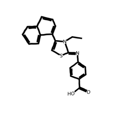 CCn1c(-c2cccc3ccccc23)cs/c1=N\c1ccc(C(=O)O)cc1